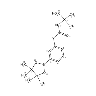 CC(C)(NC(=O)Cc1cccc(B2OC(C)(C)C(C)(C)O2)c1)C(=O)O